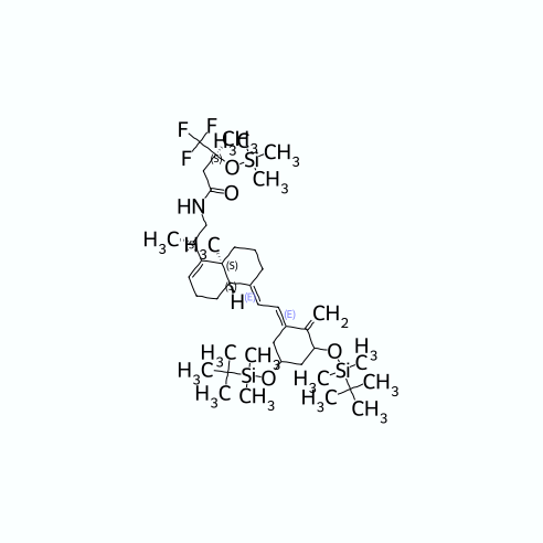 C=C1/C(=C/C=C2\CCC[C@]3(C)C([C@H](C)CNC(=O)C[C@](C)(O[Si](C)(C)C)C(F)(F)F)=CCC[C@@H]23)CC(O[Si](C)(C)C(C)(C)C)CC1O[Si](C)(C)C(C)(C)C